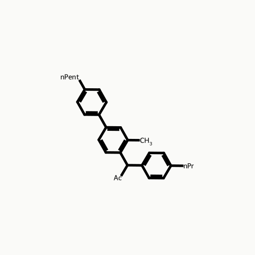 CCCCCc1ccc(-c2ccc(C(C(C)=O)c3ccc(CCC)cc3)c(C)c2)cc1